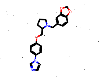 c1cn(-c2ccc(OCC3CCCN3Cc3ccc4c(c3)OCO4)cc2)cn1